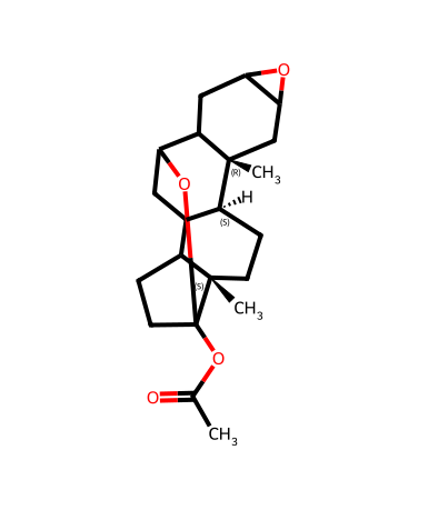 CC(=O)OC12CCC3C4CC(O1)C1CC5OC5C[C@]1(C)[C@H]4CC[C@@]32C